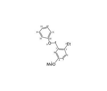 CCc1ccc(OC)cc1COc1ccccc1